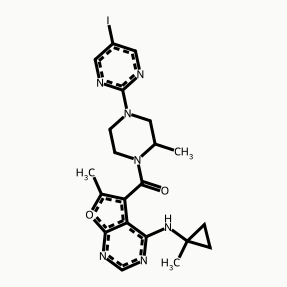 Cc1oc2ncnc(NC3(C)CC3)c2c1C(=O)N1CCN(c2ncc(I)cn2)CC1C